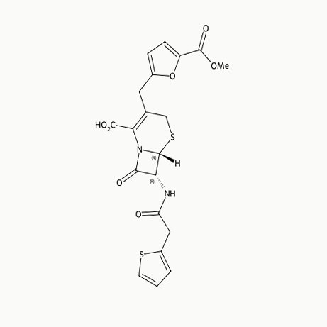 COC(=O)c1ccc(CC2=C(C(=O)O)N3C(=O)[C@@H](NC(=O)Cc4cccs4)[C@H]3SC2)o1